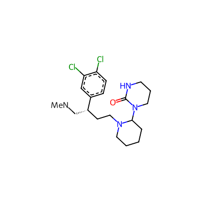 CNC[C@@H](CCN1CCCCC1N1CCCNC1=O)c1ccc(Cl)c(Cl)c1